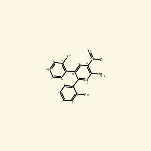 Nc1nc(-c2ccccc2F)c(-c2ccncc2F)cc1[N+](=O)[O-]